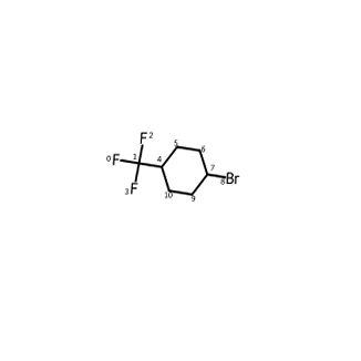 FC(F)(F)C1CCC(Br)CC1